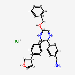 Cl.NCc1ccc(-c2ncc(OCc3ccccc3)nc2-c2ccc(-c3ccoc3)cc2)cc1